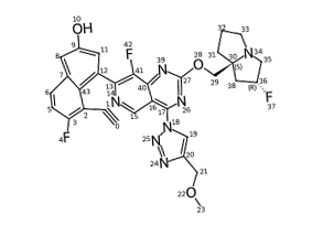 C#Cc1c(F)ccc2cc(O)cc(-c3ncc4c(-n5cc(COC)nn5)nc(OC[C@@]56CCCN5C[C@H](F)C6)nc4c3F)c12